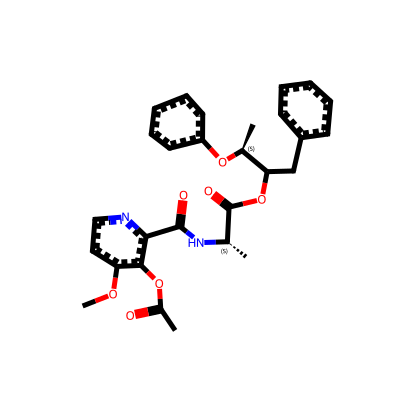 COc1ccnc(C(=O)N[C@@H](C)C(=O)OC(Cc2ccccc2)[C@H](C)Oc2ccccc2)c1OC(C)=O